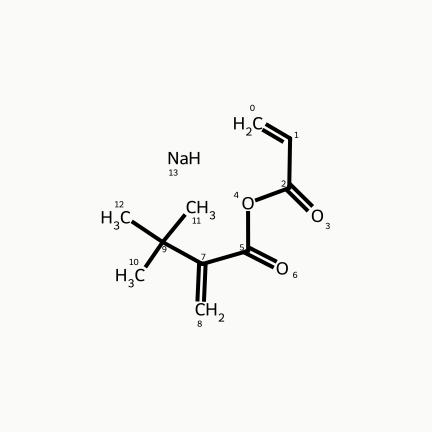 C=CC(=O)OC(=O)C(=C)C(C)(C)C.[NaH]